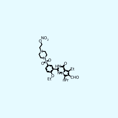 CCCc1c(C=O)c(CC)c2c(=O)[nH]c(-c3cc(S(=O)(=O)N4CCN(CCO[N+](=O)[O-])CC4)ccc3OCC)nn12